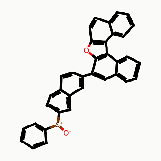 [O-][S+](c1ccccc1)c1ccc2ccc(-c3cc4ccccc4c4c3oc3ccc5ccccc5c34)cc2c1